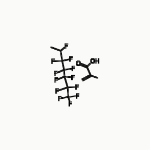 C=C(C)C(=O)O.CC(F)C(F)(F)C(F)(F)C(F)(F)C(F)(F)C(F)(F)F